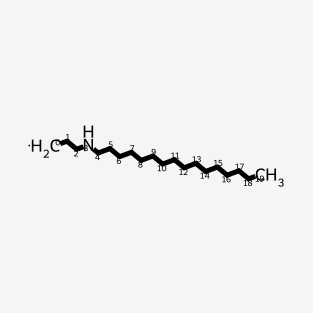 [CH2]CCNCCCCCCCCCCCCCCCC